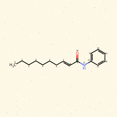 CCCCCCC/C=C/C(=O)Nc1ccccc1